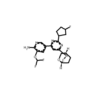 Nc1ncc(-c2cc(N3C[C@@H]4CC[C@H]3CO4)nc(C3CCC(F)C3)n2)cc1OC(F)F